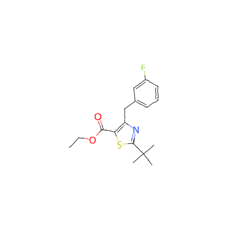 CCOC(=O)c1sc(C(C)(C)C)nc1Cc1cccc(F)c1